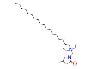 CCCCCCCCCCCCCCCCCC[N+](CC)(CC)CN1CC(C)CC1=O